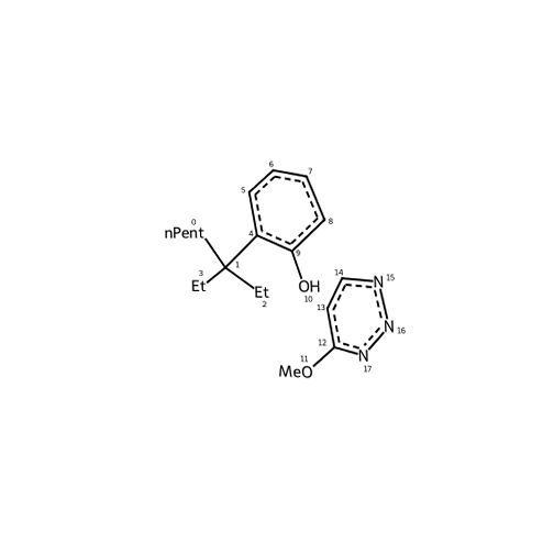 CCCCCC(CC)(CC)c1ccccc1O.COc1ccnnn1